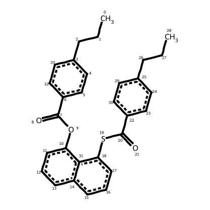 CCCc1ccc(C(=O)Oc2cccc3cccc(SC(=O)c4ccc(CCC)cc4)c23)cc1